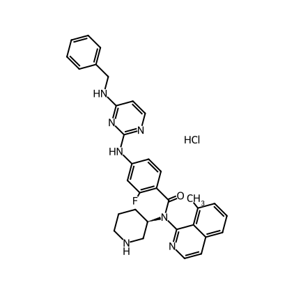 Cc1cccc2ccnc(N(C(=O)c3ccc(Nc4nccc(NCc5ccccc5)n4)cc3F)[C@@H]3CCCNC3)c12.Cl